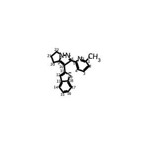 Cc1cccc(-c2nn3c(c2-c2cc4ccccc4s2)CCC3)n1